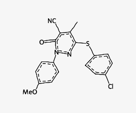 COc1ccc(-n2nc(Sc3ccc(Cl)cc3)c(C)c(C#N)c2=O)cc1